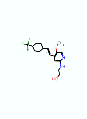 COc1cnc(NCCO)cc1/C=C/C1CCC(C(F)(F)F)CC1